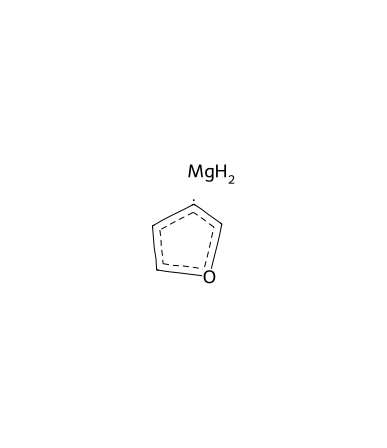 [MgH2].[c]1ccoc1